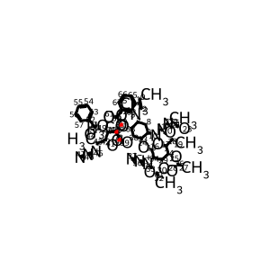 CCCN(C(C)=O)[C@@H]1CC(N=[N+]=[N-])[C@@H](O[C@H]2OC([C@@H](C)OC(C)=O)[C@@H](OC(C)=O)[C@H](OC(C)=O)C2N=[N+]=[N-])C(OC2O[C@H]([C@H](C)N=[N+]=[N-])C(OC(=O)c3ccccc3)C2OC(=O)c2ccccc2)[C@@H]1OC(C)=O